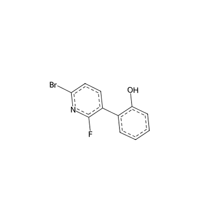 Oc1ccccc1-c1ccc(Br)nc1F